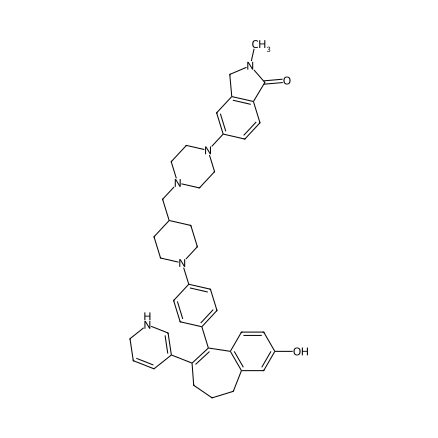 CN1Cc2cc(N3CCN(CC4CCN(c5ccc(C6=C(C7=CNCC=C7)CCCc7cc(O)ccc76)cc5)CC4)CC3)ccc2C1=O